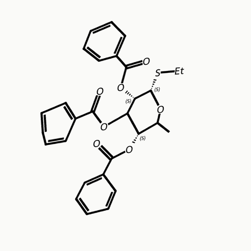 CCS[C@@H]1OC(C)[C@H](OC(=O)c2ccccc2)C(OC(=O)c2ccccc2)[C@@H]1OC(=O)c1ccccc1